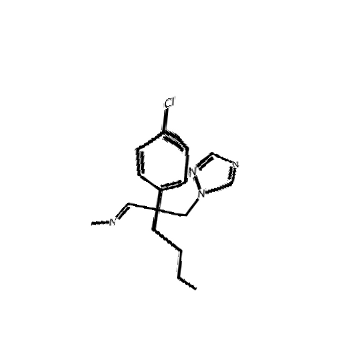 CCCCC(C=NC)(Cn1cncn1)c1ccc(Cl)cc1